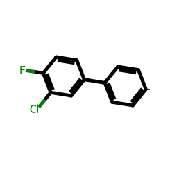 Fc1ccc(-c2cc[c]cc2)cc1Cl